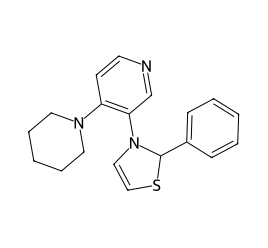 C1=CN(c2cnccc2N2CCCCC2)C(c2ccccc2)S1